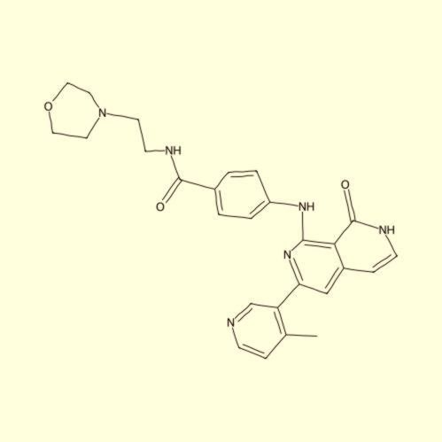 Cc1ccncc1-c1cc2cc[nH]c(=O)c2c(Nc2ccc(C(=O)NCCN3CCOCC3)cc2)n1